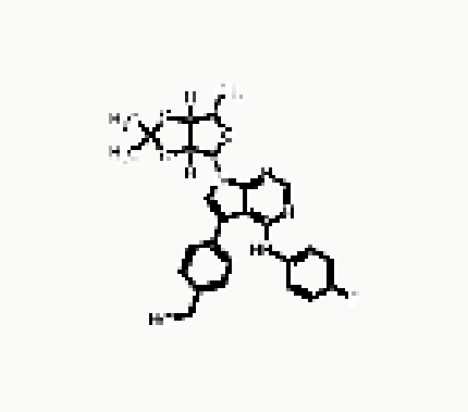 C[C@H]1O[C@@H](n2cc(-c3ccc(CO)cc3)c3c(Nc4ccc(F)cc4)ncnc32)[C@@H]2OC(C)(C)O[C@@H]21